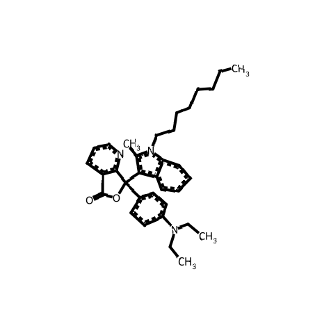 CCCCCCCCn1c(C)c(C2(c3ccc(N(CC)CC)cc3)OC(=O)c3cccnc32)c2ccccc21